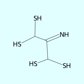 N=C(C(S)S)C(S)S